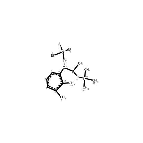 CC[N+](CC)(CC)CC.Cc1cccc(OB([O-])O[Si](C)(C)C)c1C